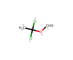 CC(Cl)(Cl)O[C]=O